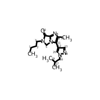 CCCCN1Cn2c(nc(C)c2-c2cnn(CC(C)C)c2)C1=O